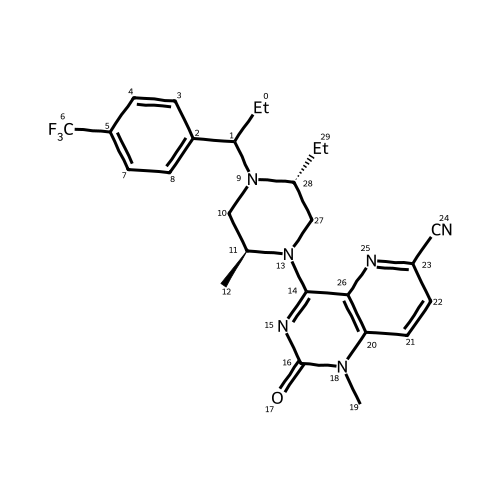 CCC(c1ccc(C(F)(F)F)cc1)N1C[C@H](C)N(c2nc(=O)n(C)c3ccc(C#N)nc23)C[C@H]1CC